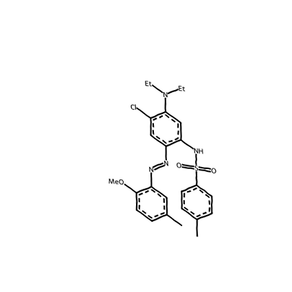 CCN(CC)c1cc(NS(=O)(=O)c2ccc(C)cc2)c(N=Nc2cc(C)ccc2OC)cc1Cl